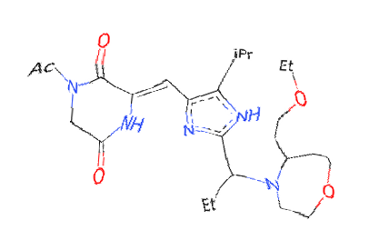 CCOCC1COCCN1C(CC)c1nc(/C=C2\NC(=O)CN(C(C)=O)C2=O)c(C(C)C)[nH]1